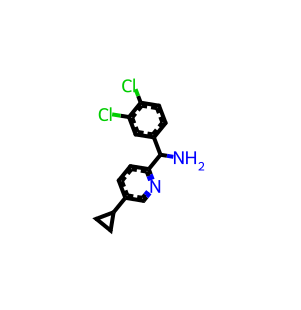 NC(c1ccc(Cl)c(Cl)c1)c1ccc(C2CC2)cn1